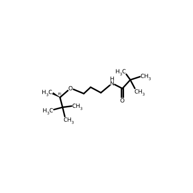 C[C@@H](OCCCNC(=O)C(C)(C)C)C(C)(C)C